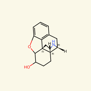 OC1CC[C@H]2[C@H]3Cc4cccc5c4[C@@]2(CCN3)C1O5